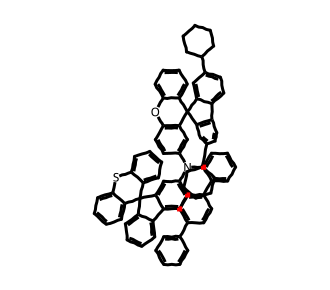 c1ccc(-c2ccc(-c3ccccc3N(c3ccc4c(c3)C3(c5ccccc5O4)c4cc(C5CCCCC5)ccc4-c4ccc(C5CCCCC5)cc43)c3ccc4c(c3)C3(c5ccccc5Sc5ccccc53)c3ccccc3-4)cc2)cc1